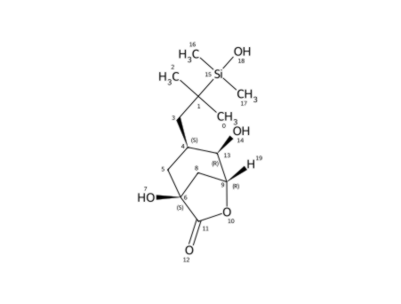 CC(C)(C[C@@H]1C[C@]2(O)C[C@@H](OC2=O)[C@@H]1O)[Si](C)(C)O